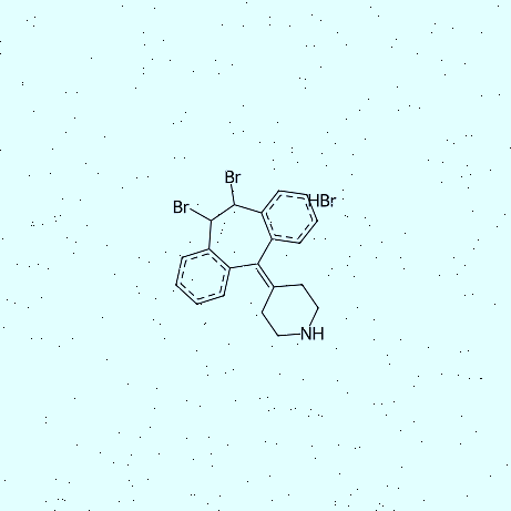 Br.BrC1c2ccccc2C(=C2CCNCC2)c2ccccc2C1Br